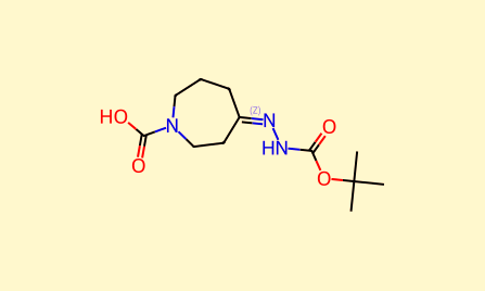 CC(C)(C)OC(=O)N/N=C1/CCCN(C(=O)O)CC1